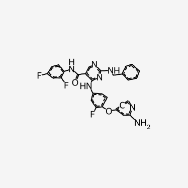 Nc1cc(Oc2ccc(Nc3nc(NCc4ccccc4)ncc3C(=O)Nc3ccc(F)cc3F)cc2F)ccn1